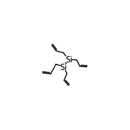 C=CC[Si](CC=C)=[Si](CC=C)CC=C